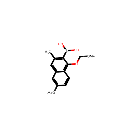 COCOc1c(B(O)O)c(C)cc2cc(OC)ccc12